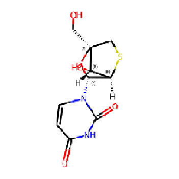 O=c1ccn([C@@H]2O[C@@]3(CO)CS[C@@H]2[C@@H]3O)c(=O)[nH]1